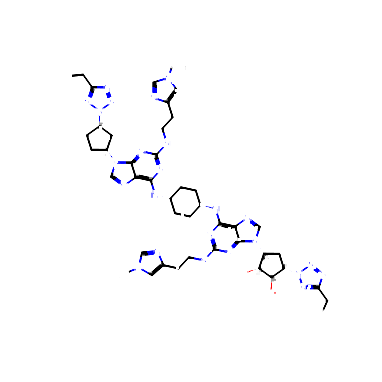 CCc1nnn([C@@H]2CC[C@H](n3cnc4c(N[C@H]5CC[C@H](Nc6nc(NCCc7cn(C)cn7)nc7c6ncn7[C@@H]6C[C@H](n7nnc(CC)n7)[C@@H](O)[C@H]6O)CC5)nc(NCCc5cn(C)cn5)nc43)C2)n1